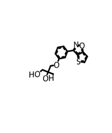 CC(O)(CO)COc1cccc(-c2noc3ccsc23)c1